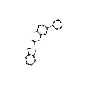 Cc1ccc(-c2ccncc2)cc1NC(=O)N1Cc2ccccc2C1